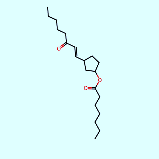 CCCCCCC(=O)OC1CCC(C=CC(=O)CCCCC)C1